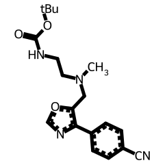 CN(CCNC(=O)OC(C)(C)C)Cc1ocnc1-c1ccc(C#N)cc1